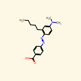 CCCCCc1cc(N(C)C)ccc1N=Nc1ccc(C(=O)O)cc1